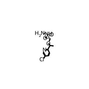 CC(OCS(=O)(=O)NN)c1ccc(Cl)cn1